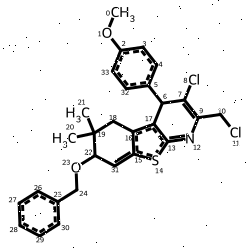 COc1ccc(C2C(Cl)=C(CCl)N=c3sc4c(c32)CC(C)(C)C(OCc2ccccc2)C=4)cc1